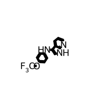 FC(F)(F)Oc1ccc(Nc2c[nH]c3ncccc23)cc1